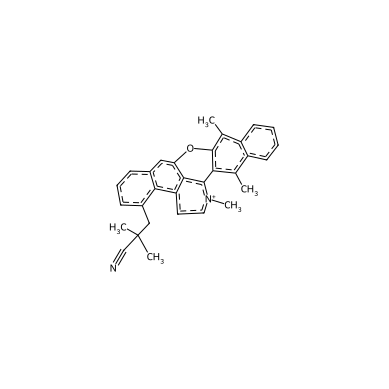 Cc1c2c(c(C)c3ccccc13)-c1c3c(cc4cccc(CC(C)(C)C#N)c4c3cc[n+]1C)O2